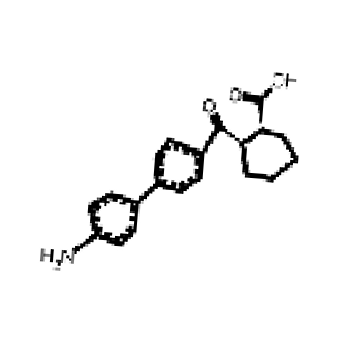 Nc1ccc(-c2ccc(C(=O)[C@@H]3CCCC[C@@H]3C(=O)O)cc2)cc1